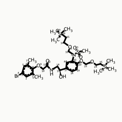 Cc1cc(Br)cc(C)c1OCC(=O)NC[C@H](O)c1ccc(OCOCC[Si](C)(C)C)c(N(COCC[Si](C)(C)C)S(C)(=O)=O)c1